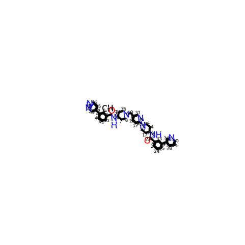 Cc1c(C(=O)NC2CCN(Cc3ccc(N4CCC(NC(=O)c5cccc(-c6cccnc6)c5)CC4)nc3)CC2)cccc1-c1ccnnc1